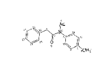 [CH2]c1ccc(N(C(C)=O)C(=O)Cc2ccccc2)cc1